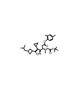 Cc1ccc(OC(=O)CC(c2noc(C3CC(CC(C)C)C3)c2C2CC2)N(C)CC(=O)OC(C)(C)C)c(C)c1